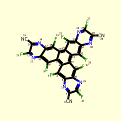 N#Cc1nc2c(F)c3c4c(F)c5nc(F)c(C#N)nc5c(F)c4c4c(F)c5nc(F)c(C#N)nc5c(F)c4c3c(F)c2nc1F